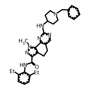 CCc1cccc(CC)c1NC(=O)c1nn(C)c2c1CCc1cnc(NC3CCN(Cc4ccccc4)CC3)nc1-2